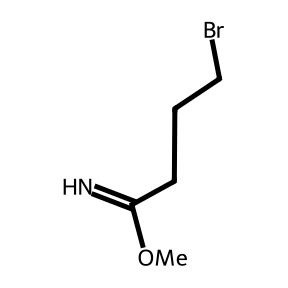 COC(=N)CCCBr